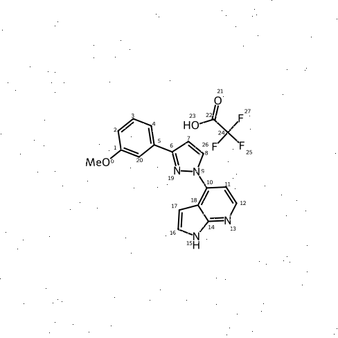 COc1cccc(-c2ccn(-c3ccnc4[nH]ccc34)n2)c1.O=C(O)C(F)(F)F